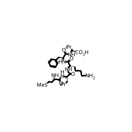 CSCC[C@H](N)C(=O)N[C@@H](CC(C)C)C(=O)N[C@@H](CCCCN)C(=O)N[C@@H](Cc1ccccc1)C(=O)N[C@H](C(=O)O)C(C)C